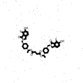 CC(OC(=O)CCC(=O)OC(C)[C@H]1CC[C@H](CN2Cc3ccc(O)c(F)c3C2=O)CC1)[C@H]1CC[C@H](CN2Cc3ccc(O)c(F)c3C2=O)CC1